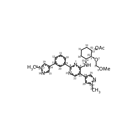 COCO[C@H]1[C@@H](Nc2nc(-c3cccc(-c4cnn(C)c4)c3)ncc2-c2cnn(C)c2)CCC[C@@H]1OC(C)=O